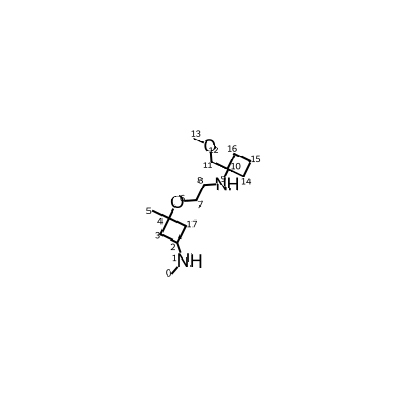 CNC1CC(C)(OCCNC2(COC)CCC2)C1